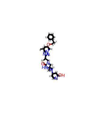 Cc1cc(OC[C@H](C)c2ccccc2)cn2nc(C(C)CN3CC4(CN(c5ccnc(O)c5)C4)NC3=O)nc12